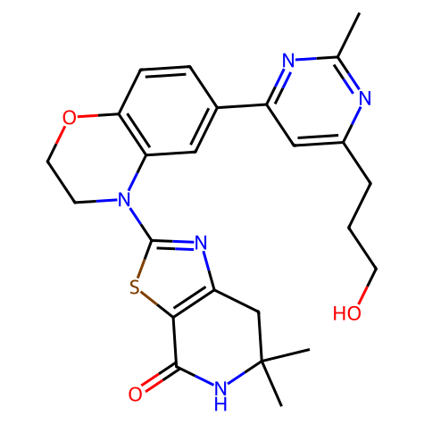 Cc1nc(CCCO)cc(-c2ccc3c(c2)N(c2nc4c(s2)C(=O)NC(C)(C)C4)CCO3)n1